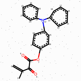 C=C(C)C(=O)C(=O)Oc1ccc(N(c2ccccc2)c2ccccc2)cc1